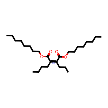 CCCCCCCCOC(=O)/C(CCC)=C(/CCCC)C(=O)OCCCCCCCC